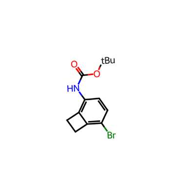 CC(C)(C)OC(=O)Nc1ccc(Br)c2c1CC2